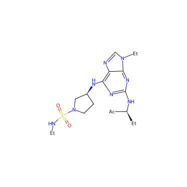 CCNS(=O)(=O)N1CC[C@H](Nc2nc(N[C@@H](CC)C(C)=O)nc3c2ncn3CC)C1